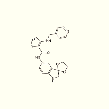 O=C(Nc1ccc2c(c1)C1(CN2)OCCO1)c1sccc1NCc1ccncc1